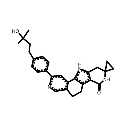 CC(C)(O)CCc1ccc(-c2cc3c(cn2)CCc2c-3[nH]c3c2C(=O)NC2(CC2)C3)cc1